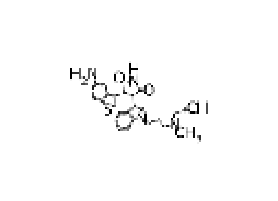 C#CCN(C)CCCn1cc(C2=C(c3csc4ccc(N)cc34)C(=O)NC2=O)c2ccccc21